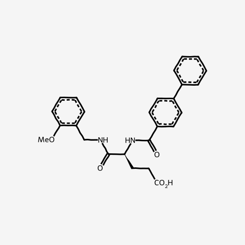 COc1ccccc1CNC(=O)[C@H](CCC(=O)O)NC(=O)c1ccc(-c2ccccc2)cc1